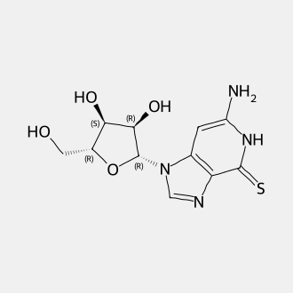 Nc1cc2c(ncn2[C@@H]2O[C@H](CO)[C@@H](O)[C@H]2O)c(=S)[nH]1